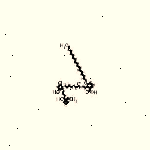 CCCCCCCCCCCCCCCCCCOc1cccc(C(=O)O)c1CCOC(=O)CCCC=CC[C@@H]1[C@@H](C=CC[C@H](O)C2(CC)CCC2)[C@H](O)C[C@H]1Cl